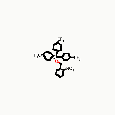 O=[N+]([O-])c1ccccc1CO[Si](c1ccc(C(F)(F)F)cc1)(c1ccc(C(F)(F)F)cc1)c1ccc(C(F)(F)F)cc1